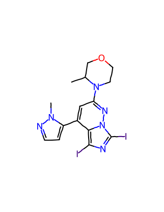 CC1COCCN1c1cc(-c2ccnn2C)c2c(I)nc(I)n2n1